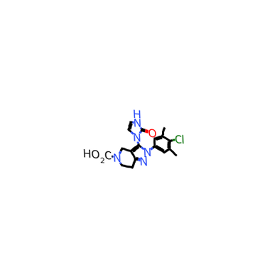 Cc1cc(-n2nc3c(c2-n2cc[nH]c2=O)CN(C(=O)O)CC3)cc(C)c1Cl